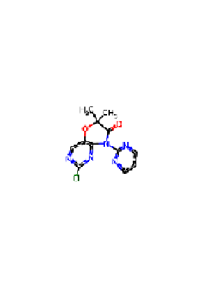 CC1(C)Oc2cnc(Cl)nc2N(c2ncccn2)C1=O